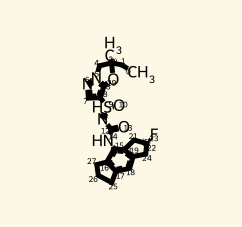 CC[C@]1(C)Cn2ncc([SH](=O)=NC(=O)Nc3c4c(cc5c3C[C@@H](F)C5)CCC4)c2O1